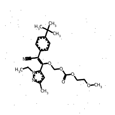 CCn1nc(C)cc1/C(OCOC(=O)OCCOC)=C(\C#N)c1ccc(C(C)(C)C)cc1